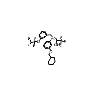 OC(C[As](Cc1cccc(OC(F)(F)C(F)F)c1)c1cccc(OCC2CCCCC2)c1)C(F)(F)F